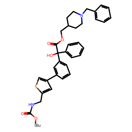 CC(C)(C)OC(=O)NCc1cc(-c2cccc(C(O)(C(=O)OCC3CCN(Cc4ccccc4)CC3)c3ccccc3)c2)cs1